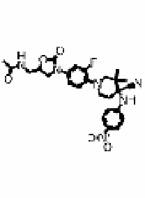 CC(=O)NCC1CN(c2ccc(N3CCC(C#N)(Nc4ccc([N+](=O)[O-])cc4)C(C)(C)C3)c(F)c2)C(=O)O1